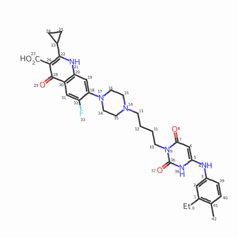 CCc1cc(Nc2cc(=O)n(CCCCN3CCN(c4cc5[nH]c(C6CC6)c(C(=O)O)c(=O)c5cc4F)CC3)c(=O)[nH]2)ccc1C